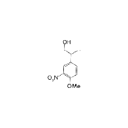 [CH2]C(CO)c1ccc(OC)c([N+](=O)[O-])c1